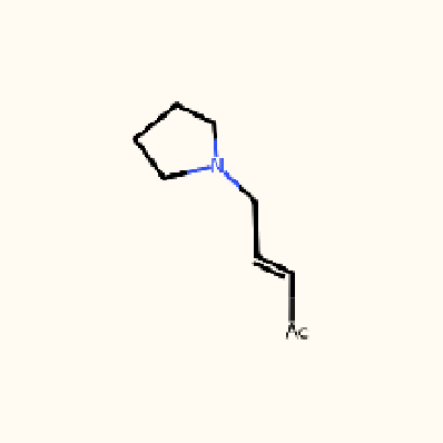 CC(=O)/C=C/CN1CCCC1